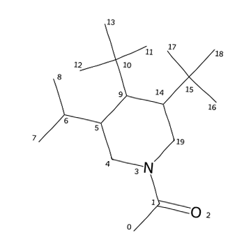 CC(=O)N1CC(C(C)C)C(C(C)(C)C)C(C(C)(C)C)C1